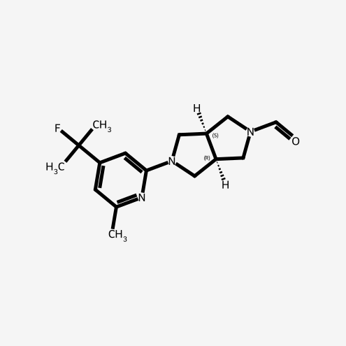 Cc1cc(C(C)(C)F)cc(N2C[C@H]3CN(C=O)C[C@H]3C2)n1